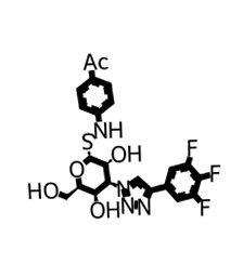 CC(=O)c1ccc(NS[C@H]2O[C@H](CO)[C@H](O)[C@H](n3cc(-c4cc(F)c(F)c(F)c4)nn3)[C@H]2O)cc1